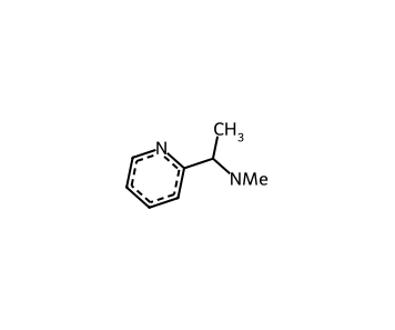 CNC(C)c1ccccn1